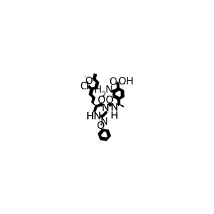 C=C(/C=C\C(Cl)=C/CC[C@@H]1CN/C(=N\Oc2ccccc2)CN(C(=O)N[C@H](C)c2ccc(C(=O)O)c(N)c2)C1=O)OC